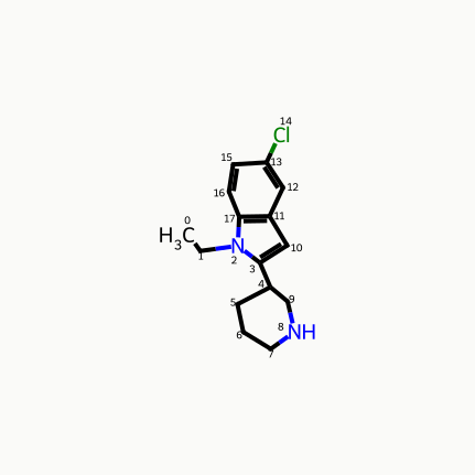 CCn1c(C2CCCNC2)cc2cc(Cl)ccc21